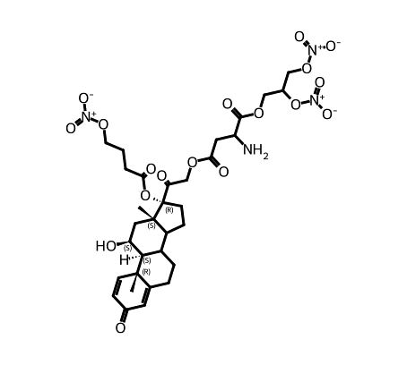 C[C@]12C=CC(=O)C=C1CCC1C3CC[C@](OC(=O)CCCO[N+](=O)[O-])(C(=O)COC(=O)CC(N)C(=O)OCC(CO[N+](=O)[O-])O[N+](=O)[O-])[C@@]3(C)C[C@H](O)[C@@H]12